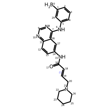 Bc1cccc(Nc2ncnc3ccc(NC(=O)/C=C/CN4CCCCC4)cc23)c1